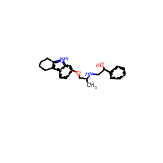 CC(COc1ccc2c3c([nH]c2c1)CCCC3)NCC(O)c1ccccc1